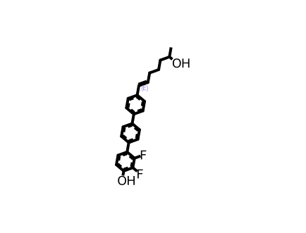 CC(O)CCC/C=C/c1ccc(-c2ccc(-c3ccc(O)c(F)c3F)cc2)cc1